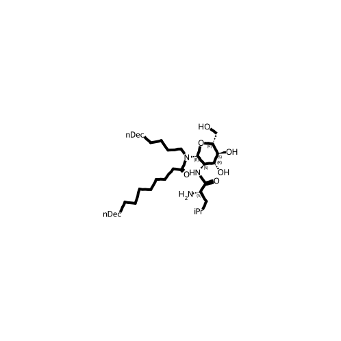 CCCCCCCCCCCCCCCCCC(=O)N(CCCCCCCCCCCCCC)[C@@H]1O[C@H](CO)[C@@H](O)[C@H](O)[C@@H]1NC(=O)[C@@H](N)CC(C)C